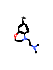 CN(C)CCN1CCOc2cc(C(C)(C)C)ccc21